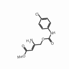 COC(=O)C=C(N)COC(=O)Nc1ccc(Cl)cc1